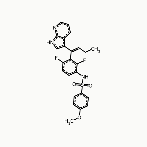 CC/C=C(\c1c(F)ccc(NS(=O)(=O)c2ccc(OC)cc2)c1F)c1c[nH]c2ncccc12